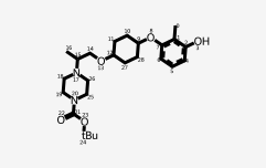 Cc1c(O)cccc1OC1CCC(OCC(C)N2CCN(C(=O)OC(C)(C)C)CC2)CC1